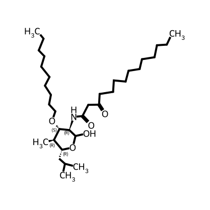 CCCCCCCCCCCC(=O)CC(=O)N[C@H]1C(O)O[C@H](CC(C)C)[C@@H](C)[C@@H]1OCCCCCCCCCC